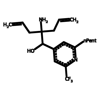 C=CCC(N)(CC=C)C(O)c1cc(CCCCC)nc(C(F)(F)F)c1